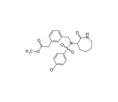 COC(=O)Cc1cccc(CN(C2CCCCNC2=O)S(=O)(=O)c2ccc(Cl)cc2)c1